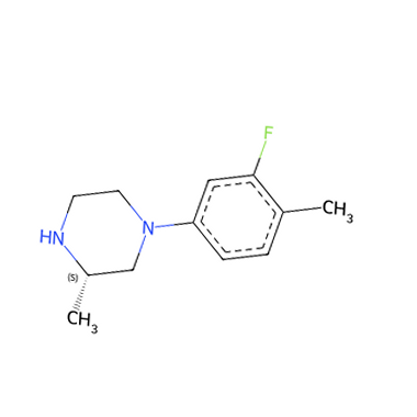 Cc1ccc(N2CCN[C@@H](C)C2)cc1F